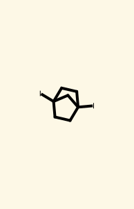 IC12CCC(I)(CC1)C2